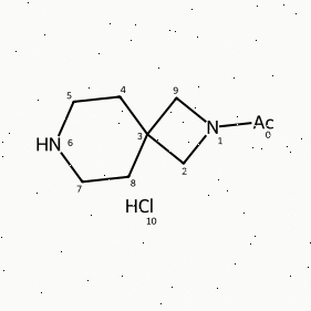 CC(=O)N1CC2(CCNCC2)C1.Cl